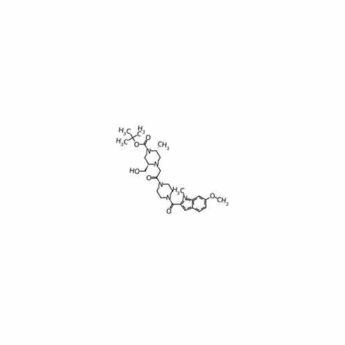 COc1ccc2cc(C(=O)N3CCN(C(=O)CN4C[C@@H](C)N(C(=O)OC(C)(C)C)C[C@@H]4CO)CC3)n(C)c2c1